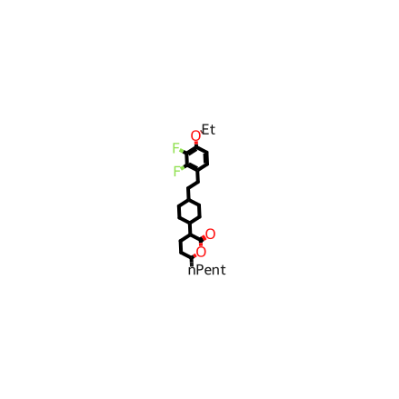 CCCCCC1CCC(C2CCC(CCc3ccc(OCC)c(F)c3F)CC2)C(=O)O1